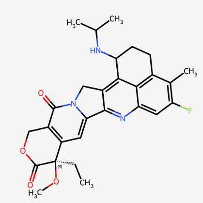 CC[C@]1(OC)C(=O)OCc2c1cc1n(c2=O)Cc2c-1nc1cc(F)c(C)c3c1c2C(NC(C)C)CC3